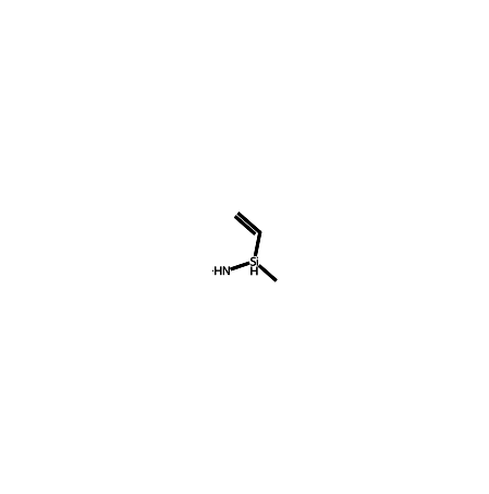 C=C[SiH](C)[NH]